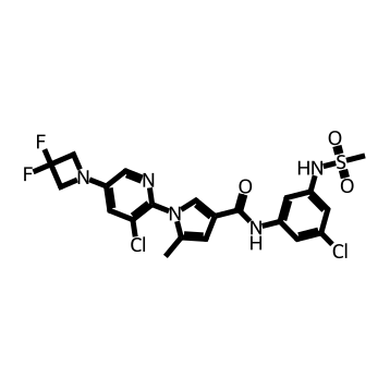 Cc1cc(C(=O)Nc2cc(Cl)cc(NS(C)(=O)=O)c2)cn1-c1ncc(N2CC(F)(F)C2)cc1Cl